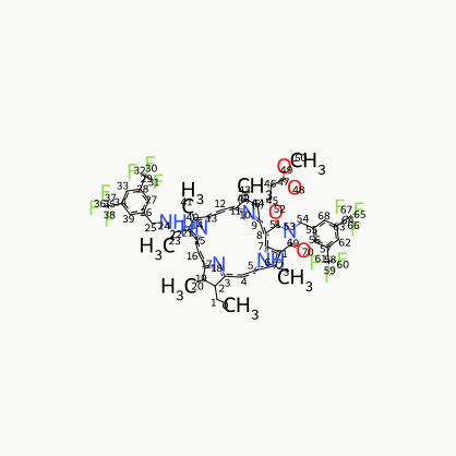 CCC1c2cc3[nH]c4c(c5nc(cc6[nH]c(cc(n2)C1C)c(C(C)NCc1cc(C(F)(F)F)cc(C(F)(F)F)c1)c6C)[C@@H](C)[C@@H]5CCC(=O)OC)C(=O)N(Cc1cc(C(F)(F)F)cc(C(F)(F)F)c1)C(=O)c4c3C